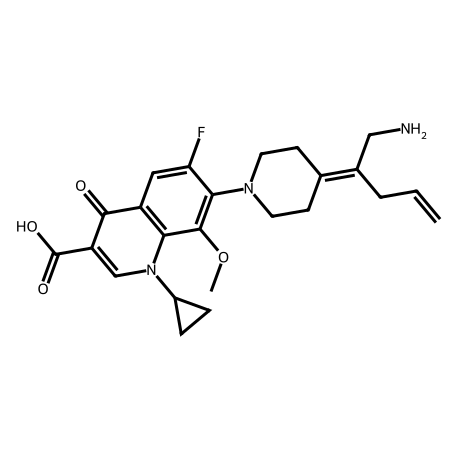 C=CCC(CN)=C1CCN(c2c(F)cc3c(=O)c(C(=O)O)cn(C4CC4)c3c2OC)CC1